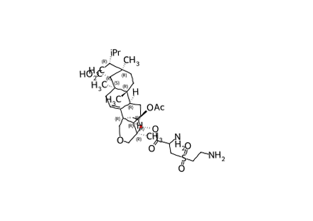 CC(=O)O[C@@H]1C[C@@]23COC[C@@](C)([C@@H]2CC[C@H]2C3=CC[C@@]3(C)[C@H](C(=O)O)[C@@](C)([C@H](C)C(C)C)CC[C@]23C)[C@H]1OC(=O)C(N)CS(=O)(=O)CCN